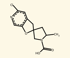 CC1CC2(Cc3cc(Cl)ncc3O2)CN1C(=O)O